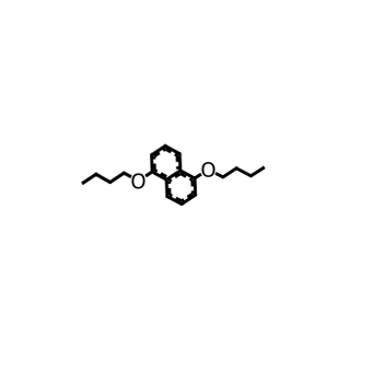 CCCCOc1cccc2c(OCCCC)cccc12